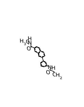 C=CC(=O)Nc1cccc(-c2ccc3ccc(C(=O)NC)cc3c2)c1